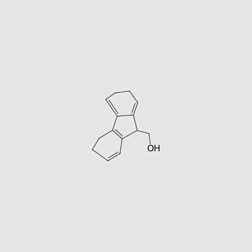 OCC1C2=CCCC=C2C2=C1C=CCC2